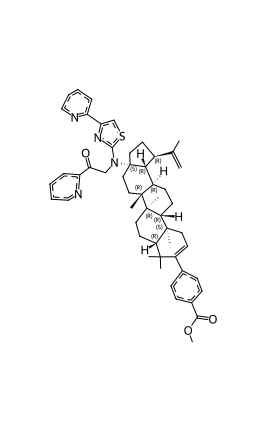 C=C(C)[C@@H]1CC[C@]2(N(CC(=O)c3ccccn3)c3nc(-c4ccccn4)cs3)CC[C@]3(C)[C@H](CC[C@@H]4[C@@]5(C)CC=C(c6ccc(C(=O)OC)cc6)C(C)(C)[C@@H]5CC[C@]43C)[C@@H]12